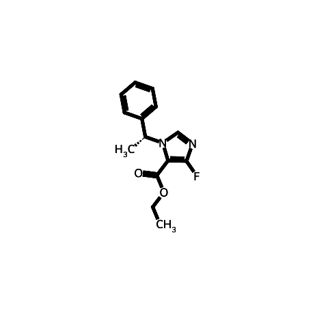 CCOC(=O)c1c(F)ncn1[C@H](C)c1ccccc1